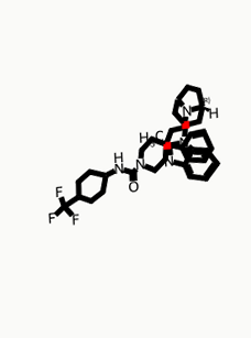 Cc1nc2ccccc2n1C1CC2CC[C@H](C1)N2CCC1(c2ccccc2)CCN(C(=O)NC2CCC(C(F)(F)F)CC2)CC1